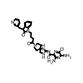 Nc1nc(N)c(C(=O)/N=C2\NCC3(CCN(C(=O)CCCN4C(=O)C(Cc5cccnc5)c5ccccc54)CC3)N2)nc1Cl